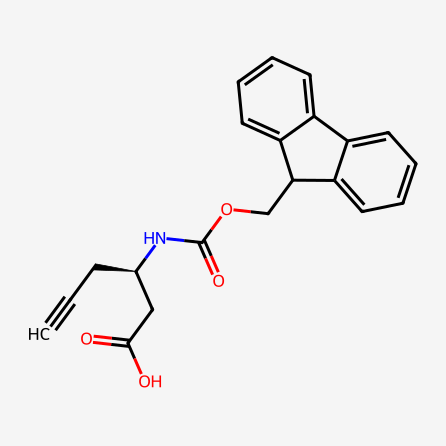 C#CC[C@H](CC(=O)O)NC(=O)OCC1c2ccccc2-c2ccccc21